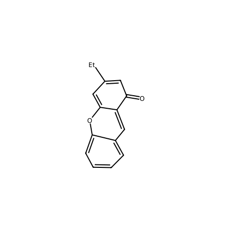 CCc1cc2oc3ccccc3cc-2c(=O)c1